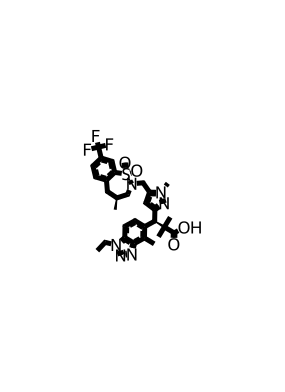 CCn1nnc2c(C)c([C@@H](c3cc(CN4C[C@@H](C)Cc5ccc(C(F)(F)F)cc5S4(=O)=O)n(C)n3)C(C)(C)C(=O)O)ccc21